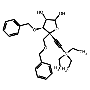 CC[Si](C#C[C@]1(COCc2ccccc2)OC(O)[C@H](O)[C@@H]1OCc1ccccc1)(CC)CC